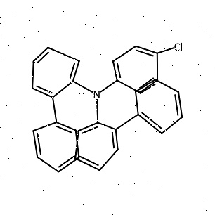 Clc1ccc(N(c2ccccc2-c2ccccc2)c2ccccc2-c2ccccc2)cc1